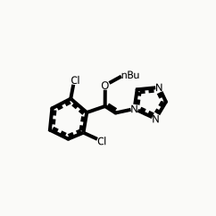 CCCCOC(=Cn1cncn1)c1c(Cl)cccc1Cl